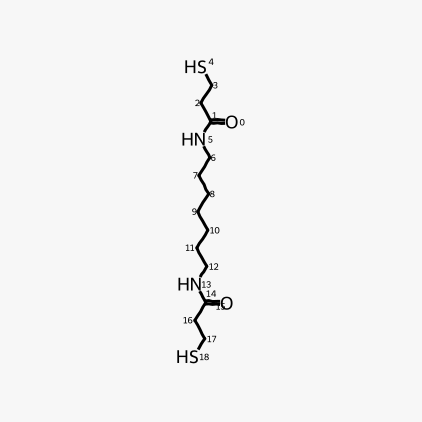 O=C(CCS)NCCCCCCCNC(=O)CCS